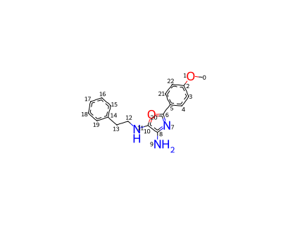 COc1ccc(-c2nc(N)c(NCCc3ccccc3)o2)cc1